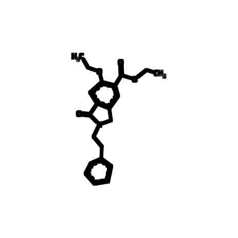 CCOC(=O)c1cc2c(cc1OCC)C(=O)N(CCc1ccccc1)C2